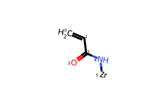 C=CC(=O)[NH][Zr]